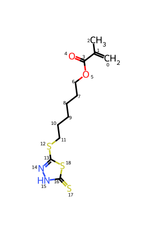 C=C(C)C(=O)OCCCCCCSc1n[nH]c(=S)s1